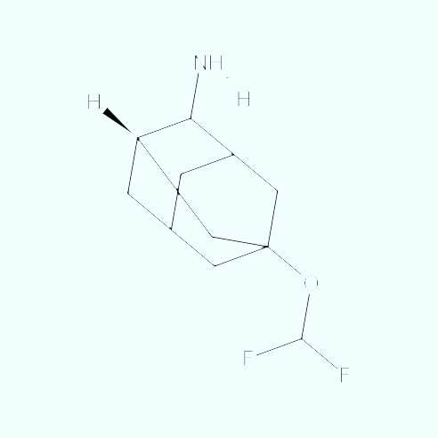 NC1[C@@H]2CC3C[C@H]1CC(OC(F)F)(C3)C2